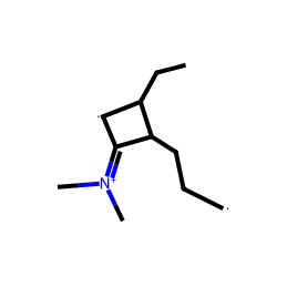 [CH2]CCC1C(=[N+](C)C)[CH]C1CC